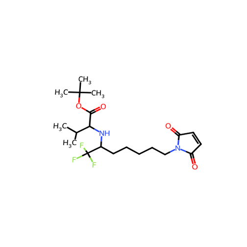 CC(C)C(NC(CCCCCN1C(=O)C=CC1=O)C(F)(F)F)C(=O)OC(C)(C)C